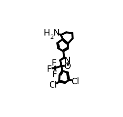 NC1CCCc2cc(C3=NOC(c4cc(Cl)cc(Cl)c4)(C(F)(F)F)C3)ccc21